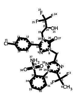 CC(F)(F)c1nc(Cn2nc(-c3ccc(Cl)cc3)n(C[C@H](O)C(F)(F)F)c2=O)nn1-c1ccccc1S(N)(=O)=O